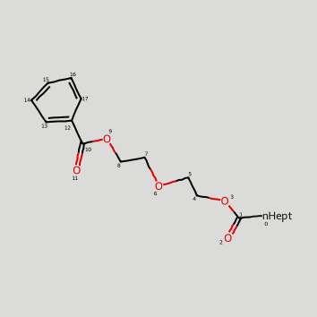 CCCCCCCC(=O)OCCOCCOC(=O)c1ccccc1